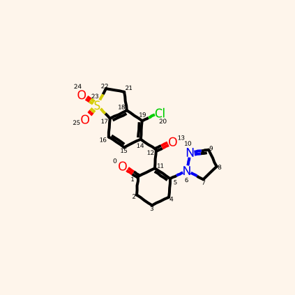 O=C1CCCC(N2CCC=N2)=C1C(=O)c1ccc2c(c1Cl)CCS2(=O)=O